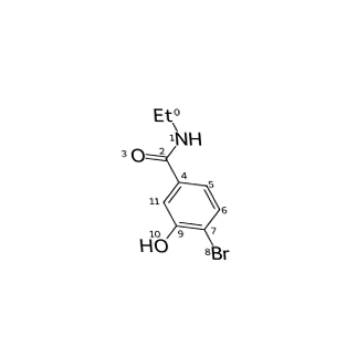 CCNC(=O)c1ccc(Br)c(O)c1